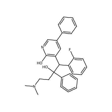 CN(C)CCC(O)(C1=C=C=CC=C1)C(c1ccccc1F)c1cc(-c2ccccc2)cnc1O